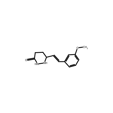 COc1cccc(/C=C/C2CCC(=O)NN2)c1